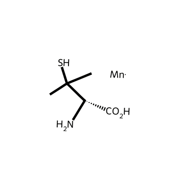 CC(C)(S)[C@@H](N)C(=O)O.[Mn]